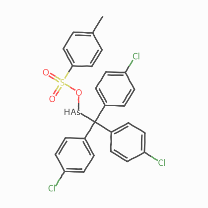 Cc1ccc(S(=O)(=O)O[AsH]C(c2ccc(Cl)cc2)(c2ccc(Cl)cc2)c2ccc(Cl)cc2)cc1